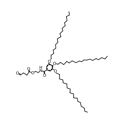 CCCCCCCCCCCCCCCCCCOc1cc(C(=O)NCCOC(=O)CC[C]=O)cc(OCCCCCCCCCCCCCCCCCC)c1OCCCCCCCCCCCCCCCCCC